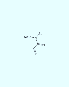 C=CC(=O)N(CC)OC